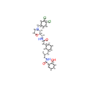 CC(CNC(=O)c1ccccc1O)Cc1cccc(CC(=O)NCC2CN(Cc3ccc(Cl)c(Cl)c3)CCO2)c1